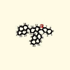 c1ccc2cc3c(cc2c1)oc1cc2cc(-c4ccc5ccc6cccc7ccc4c5c67)ccc2c(-c2ccc4ccc5cccc6ccc2c4c56)c13